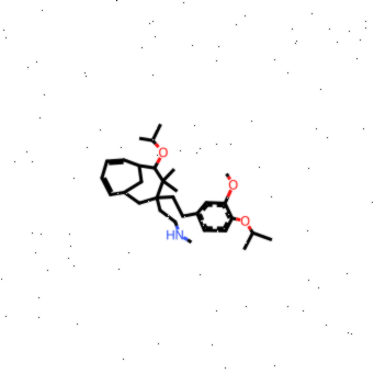 CNCCC1(CCc2ccc(OC(C)C)c(OC)c2)CC2C=CC=CC(C2)C(OC(C)C)C1(C)C